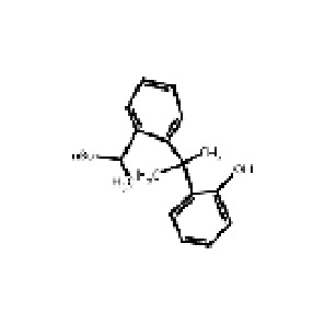 CCCCC(C)c1ccccc1C(C)(C)c1ccccc1O